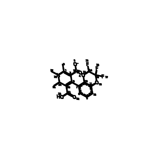 CC1=C([N+](=O)[O-])C(c2cccc3c2OC(F)C(F)(F)O3)=C(C(=O)O)C(C)N1C